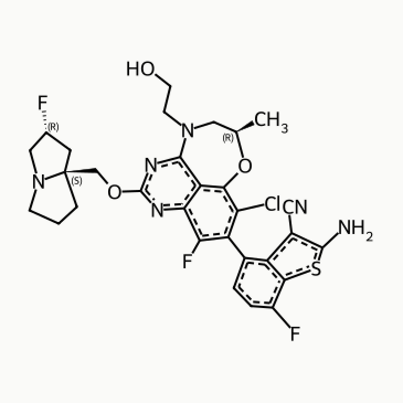 C[C@@H]1CN(CCO)c2nc(OC[C@@]34CCCN3C[C@H](F)C4)nc3c(F)c(-c4ccc(F)c5sc(N)c(C#N)c45)c(Cl)c(c23)O1